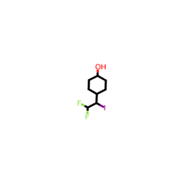 OC1CCC(C(I)C(F)F)CC1